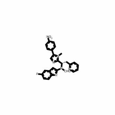 Cn1c(-c2ccc([N+](=O)[O-])cc2)cnc1[C@H](Cc1ccccn1)N(C=O)c1cc2cc(F)ccc2o1